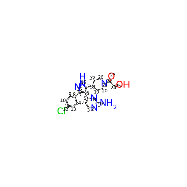 Nc1nccc(-c2c(-c3ccc(Cl)cc3)n[nH]c2C2CCN(C(=O)CO)CC2)n1